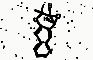 CC1(C)Oc2cc3cccnc3cc2[C@H]2O[C@H]21